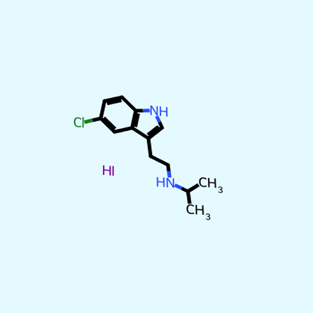 CC(C)NCCc1c[nH]c2ccc(Cl)cc12.I